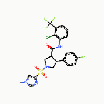 Cn1cnc(S(=O)(=O)N2CC(C(=O)Nc3cccc(C(F)(F)F)c3Cl)C(c3ccc(F)cc3)C2)c1